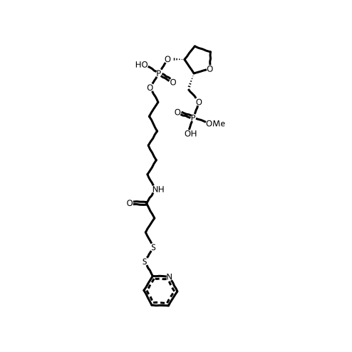 COP(=O)(O)OC[C@H]1OCC[C@H]1OP(=O)(O)OCCCCCCNC(=O)CCSSc1ccccn1